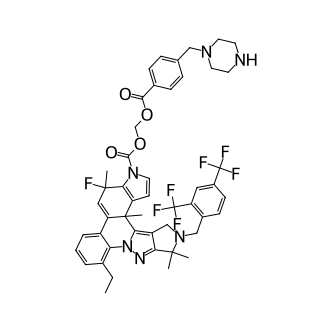 CCc1cccc2c1-n1nc3c(c1C1(C)C2=CC(C)(F)c2c1ccn2C(=O)OCOC(=O)c1ccc(CN2CCNCC2)cc1)CN(Cc1ccc(C(F)(F)F)cc1C(F)(F)F)C3(C)C